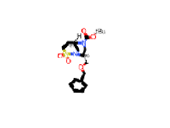 CC(C)(C)OC(=O)N1C[C@H](COCc2ccccc2)N2C[C@H]1C=CS2(=O)=O